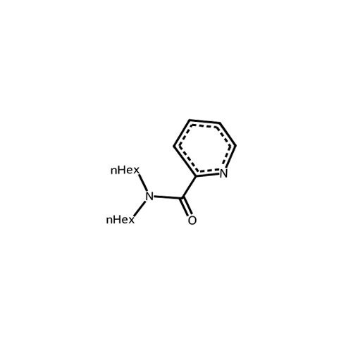 CCCCCCN(CCCCCC)C(=O)c1ccccn1